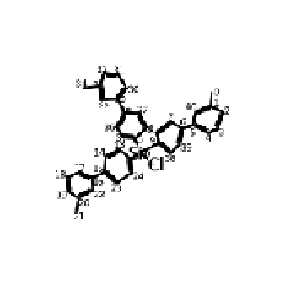 Cc1cccc(-c2ccc([Si](Cl)(c3ccc(-c4cccc(C)c4)cc3)c3ccc(-c4cccc(C)c4)cc3)cc2)c1